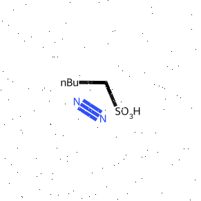 CCCCCS(=O)(=O)O.N#N